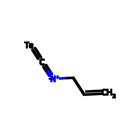 C=CC[N+]=C=[Te]